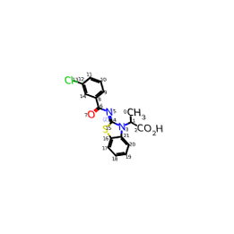 CC(C(=O)O)n1/c(=N/C(=O)c2cccc(Cl)c2)sc2ccccc21